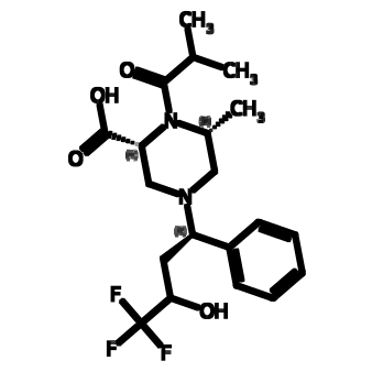 CC(C)C(=O)N1[C@H](C)CN([C@H](CC(O)C(F)(F)F)c2ccccc2)C[C@@H]1C(=O)O